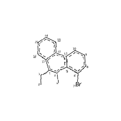 CCc1c(C)c2c(Br)cccc2c2ccccc12